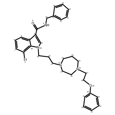 CCc1cccc2c(C(=O)NCc3ccccc3)cn(CCCN3CCCN(CCOc4ccccc4)CC3)c12